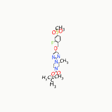 CC1CN(C(=O)OC(C)(C)C)CCN1c1ncc(OCc2ccc(S(C)(=O)=O)cc2F)cn1